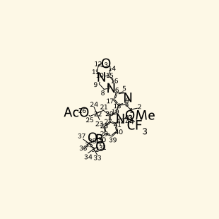 CO[C@@H](C)c1ncc(N2CCN3CCOCC3C2)cc1-c1c(CC(C)(C)COC(C)=O)c2cc(B3OC(C)(C)C(C)(C)O3)ccc2n1CC(F)(F)F